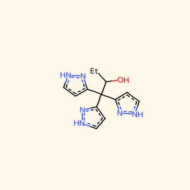 CCC(O)C(c1cc[nH]n1)(c1cc[nH]n1)c1cc[nH]n1